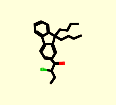 CCCCC1(CCCC)c2ccccc2-c2ccc(C(=O)C(Cl)CC)cc21